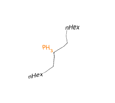 CCCCCCCCCCCCCCC.P